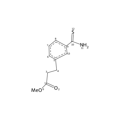 COC(=O)CCc1cccc(C(N)=S)c1